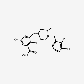 COC(=O)c1cc(Cl)nc(C[C@H]2CCN(Cc3cccc(Cl)c3F)[C@H](C)C2)c1F